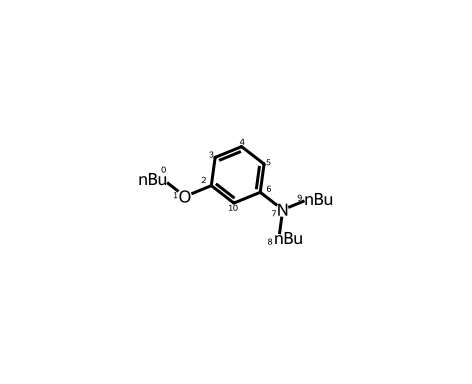 CCCCOc1cccc(N(CCCC)CCCC)c1